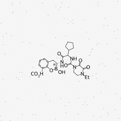 CCN1CCN(C(=O)NC(C(=O)N[C@H]2Cc3cccc(C(=O)O)c3OB2O)C2CCCC2)C(=O)C1=O